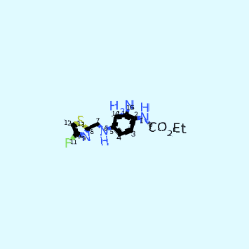 CCOC(=O)Nc1ccc(NCc2nc(F)cs2)cc1N